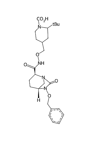 CC(C)(C)C1CC(CONC(=O)[C@@H]2CC[C@@H]3CN2C(=O)N3OCc2ccccc2)CCN1C(=O)O